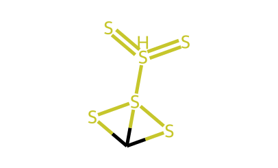 S=[SH](=S)S12SC1S2